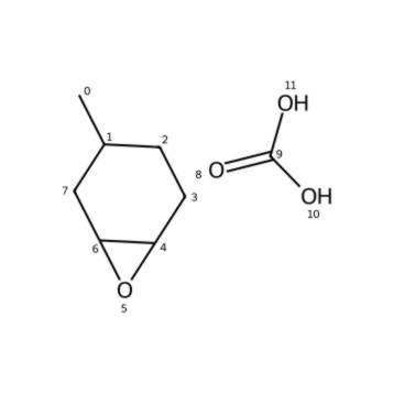 CC1CCC2OC2C1.O=C(O)O